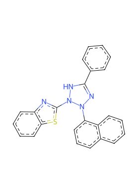 c1ccc(C2=NN(c3cccc4ccccc34)N(c3nc4ccccc4s3)N2)cc1